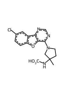 CC1(NC(=O)O)CCN(c2ncnc3c2oc2ccc(Cl)cc23)C1